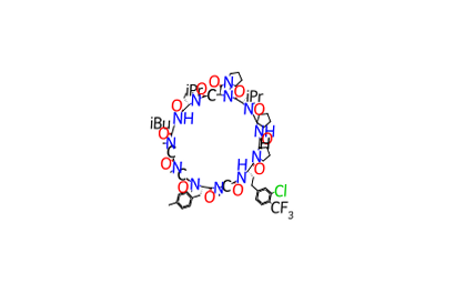 CC[C@H](C)[C@@H]1NC(=O)[C@H](CC(C)C)N(C)C(=O)C[C@@H](C(=O)N2CCCC2)N(C)C(=O)[C@H](C(C)C)N(C)C(=O)C2(CCCC2)NC(=O)[C@@H]2CCCN2C(=O)[C@H](CCc2ccc(C(F)(F)F)c(Cl)c2)NC(=O)CN(C)C(=O)[C@H](Cc2ccc(C)cc2)N(C)C(=O)CN(C)C(=O)CN(C)C1=O